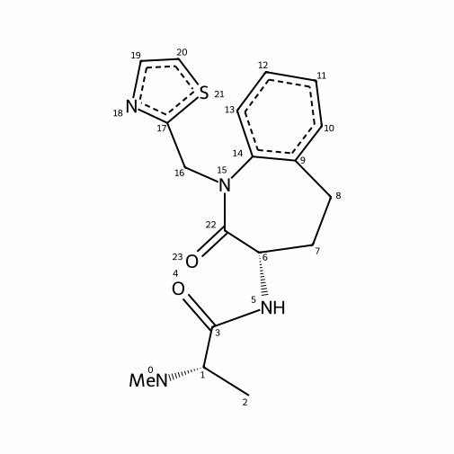 CN[C@@H](C)C(=O)N[C@H]1CCc2ccccc2N(Cc2nccs2)C1=O